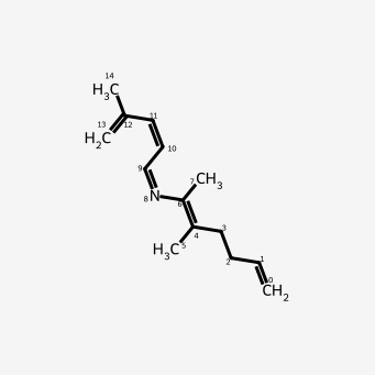 C=CCC/C(C)=C(C)/N=C\C=C/C(=C)C